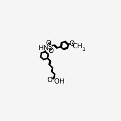 COc1ccc(C=CS(=O)(=O)NC2CCCC(C=CCCCC(=O)O)C2)cc1